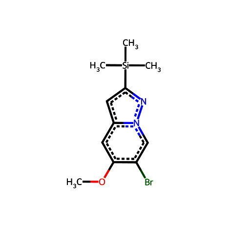 COc1cc2cc([Si](C)(C)C)nn2cc1Br